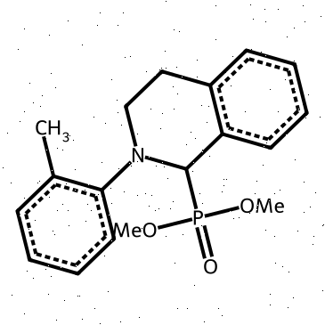 COP(=O)(OC)C1c2ccccc2CCN1c1ccccc1C